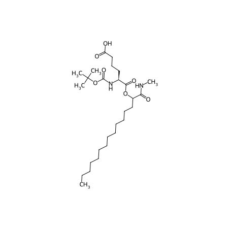 CCCCCCCCCCCCCC(OC(=O)[C@H](CCCC(=O)O)NC(=O)OC(C)(C)C)C(=O)NC